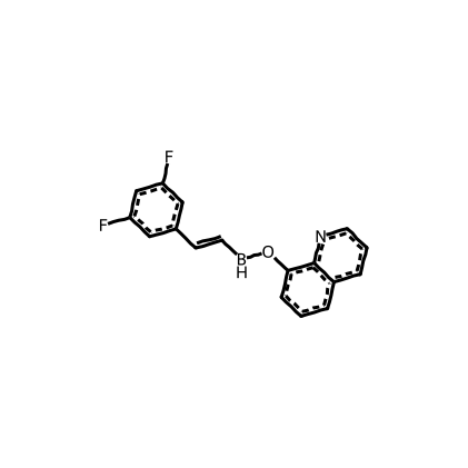 Fc1cc(F)cc(C=CBOc2cccc3cccnc23)c1